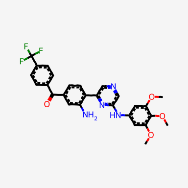 COc1cc(Nc2cncc(-c3ccc(C(=O)c4ccc(C(F)(F)F)cc4)cc3N)n2)cc(OC)c1OC